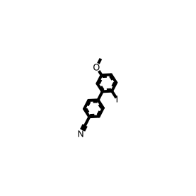 COc1ccc(I)c(-c2ccc(C#N)cc2)c1